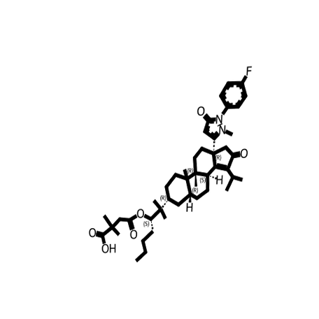 CCCC[C@H](OC(=O)CC(C)(C)C(=O)O)C(C)(C)[C@@H]1CCC2(C)[C@H](CC[C@@H]3C4=C(C(C)C)C(=O)C[C@]4(c4cc(=O)n(-c5ccc(F)cc5)n4C)CC[C@]32C)C1